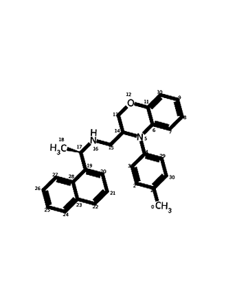 Cc1ccc(N2c3ccccc3OCC2CN[C@H](C)c2cccc3ccccc23)cc1